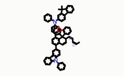 C/C=C\C=C/C1C=Cc2c(-c3ccc4c(c3)c3ccccc3n4-c3ccccc3)ccc(-c3ccc(N(c4ccccc4)c4ccc5c(c4)C(C)(C)c4ccccc4-5)cc3)c2C1(c1ccccc1)c1ccccc1OC